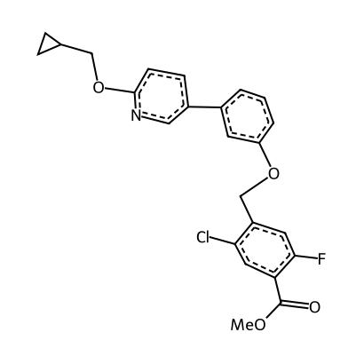 COC(=O)c1cc(Cl)c(COc2cccc(-c3ccc(OCC4CC4)nc3)c2)cc1F